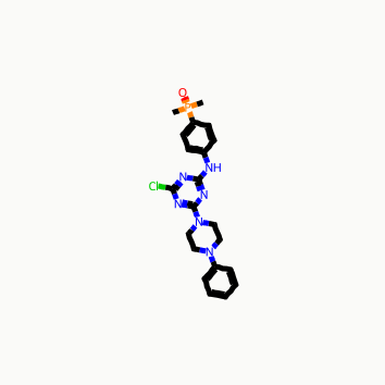 CP(C)(=O)c1ccc(Nc2nc(Cl)nc(N3CCN(c4ccccc4)CC3)n2)cc1